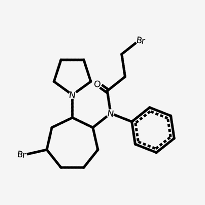 O=C(CCBr)N(c1ccccc1)C1CCCC(Br)CC1N1CCCC1